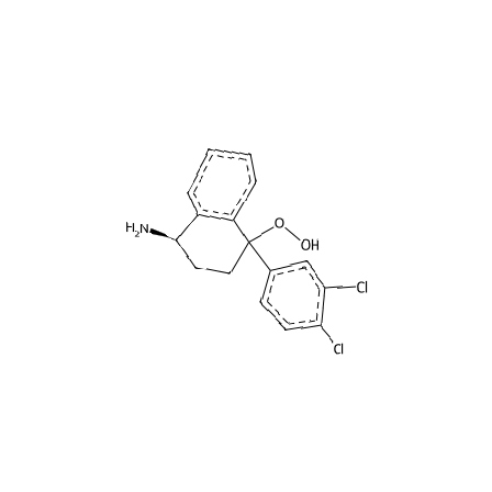 N[C@@H]1CCC(OO)(c2ccc(Cl)c(Cl)c2)c2ccccc21